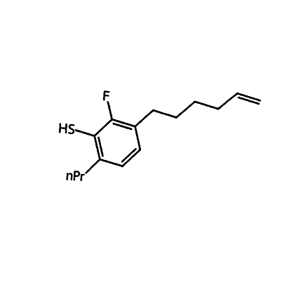 C=CCCCCc1ccc(CCC)c(S)c1F